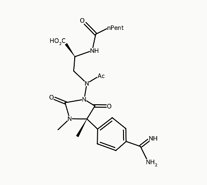 CCCCCC(=O)N[C@@H](CN(C(C)=O)N1C(=O)N(C)[C@@](C)(c2ccc(C(=N)N)cc2)C1=O)C(=O)O